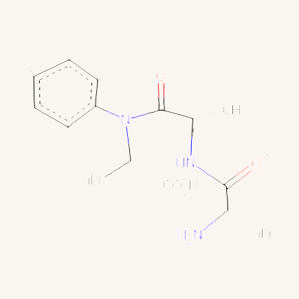 CC(C)[C@H](N)C(=O)N[C@@H](C)C(=O)N(c1ccccc1)[C@H](C(=O)O)C(C)C